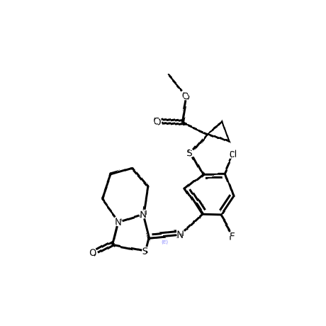 COC(=O)C1(Sc2cc(/N=c3/sc(=O)n4n3CCCC4)c(F)cc2Cl)CC1